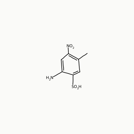 Cc1cc(S(=O)(=O)O)c(N)cc1[N+](=O)[O-]